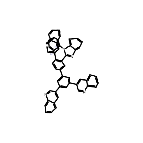 C=c1cccc/c1=C/C(=C\C)c1ccc(-c2cc(-c3cnc4ccccc4c3)cc(-c3cnc4ccccc4c3)c2)cc1-c1nc2ccccc2n1-c1ccccc1